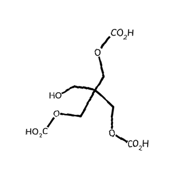 O=C(O)OCC(CO)(COC(=O)O)COC(=O)O